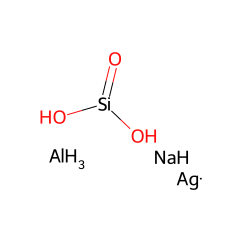 O=[Si](O)O.[Ag].[AlH3].[NaH]